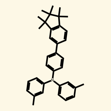 Cc1cccc(N(c2ccc(-c3ccc4c(c3)C(C)(C)C(C)(C)C4(C)C)cc2)c2cccc(C)c2)c1